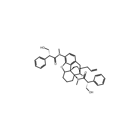 C=CCN1CC[C@]23c4c5ccc(N(C)C(=O)[C@@H](CO)c6ccccc6)c4OC2CCC[C@@]3(N(C)C(=O)[C@@H](CO)c2ccccc2)[C@H]1C5